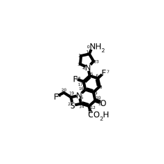 NC1CCN(c2c(F)cc3c(=O)c(C(=O)O)c4n(c3c2F)C(CF)S4)C1